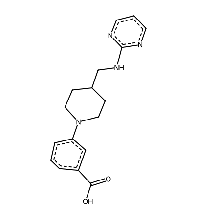 O=C(O)c1cccc(N2CCC(CNc3ncccn3)CC2)c1